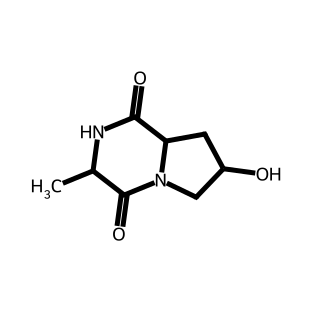 CC1NC(=O)C2CC(O)CN2C1=O